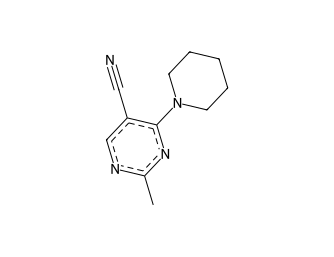 Cc1ncc(C#N)c(N2CCCCC2)n1